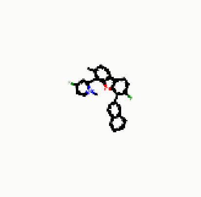 Cc1ccc2c(oc3c(-c4ccc5ccccc5c4)c(F)ccc32)c1-c1cc(F)cc[n+]1C